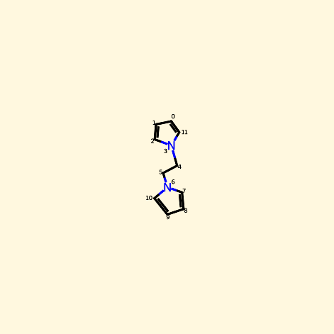 c1ccn(CCn2cccc2)c1